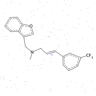 CN(C/C=C/c1cccc(C(F)(F)F)c1)Cc1coc2ccccc12